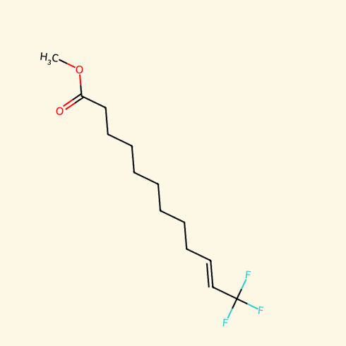 COC(=O)CCCCCCCC/C=C/C(F)(F)F